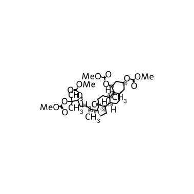 COC(=O)OC(CC[C@@H](C)[C@H]1CC[C@H]2[C@@H]3CC=C4C[C@@H](OC(=O)OC)C[C@H](OC(=O)OC)[C@]4(C)[C@H]3CC[C@]12C)C(C)(C)OC(=O)OC